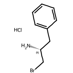 Cl.N[C@@H](CBr)Cc1ccccc1